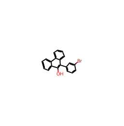 Oc1c(-c2cccc(Br)c2)c2ccccc2c2ccccc12